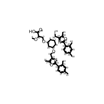 COC(CO[C@@H]1CCC[C@H](OCc2nc(-c3ccc(C)cc3C)oc2C)C1)C(=O)O.Cc1ccc(-c2nc(CI)c(C)o2)c(C)c1